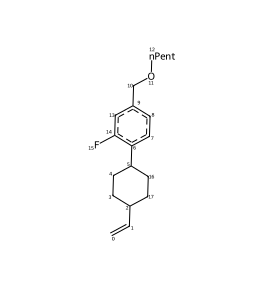 C=CC1CCC(c2ccc(COCCCCC)cc2F)CC1